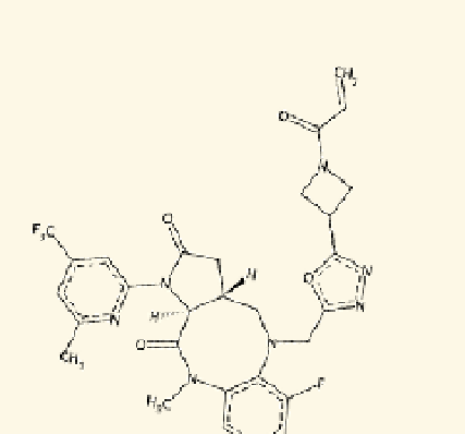 C=CC(=O)N1CC(c2nnc(CN3C[C@H]4CC(=O)N(c5cc(C(F)(F)F)cc(C)n5)[C@@H]4C(=O)N(C)c4cccc(F)c43)o2)C1